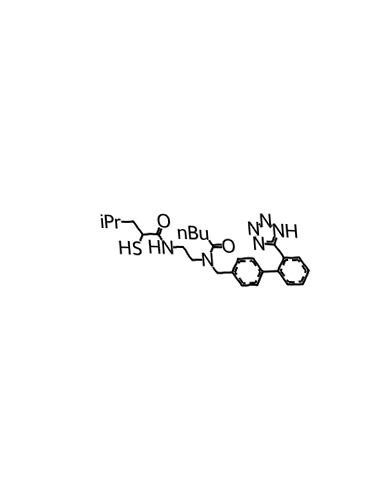 CCCCC(=O)N(CCNC(=O)C(S)CC(C)C)Cc1ccc(-c2ccccc2-c2nnn[nH]2)cc1